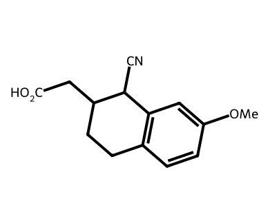 COc1ccc2c(c1)C(C#N)C(CC(=O)O)CC2